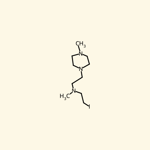 CN(CCI)CCN1CCN(C)CC1